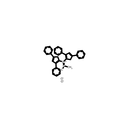 C[Si](C)=[Zr+2]([C]1=C(c2ccccc2)C=C(c2ccccc2)C1)[C]1=C(c2ccccc2)C=C(c2ccccc2)C1.[Cl-].[Cl-]